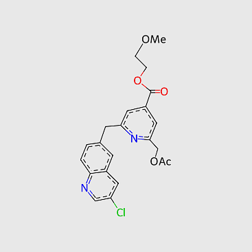 COCCOC(=O)c1cc(COC(C)=O)nc(Cc2ccc3ncc(Cl)cc3c2)c1